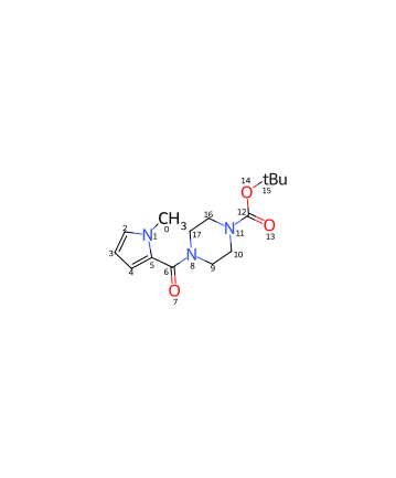 Cn1cccc1C(=O)N1CCN(C(=O)OC(C)(C)C)CC1